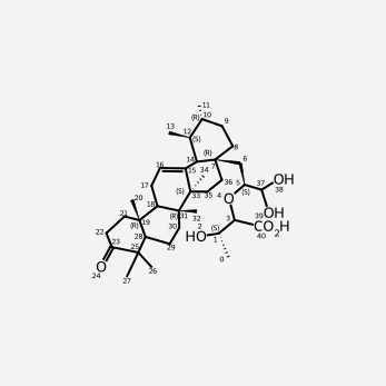 C[C@H](O)C(O[C@@H](C[C@]12CC[C@@H](C)[C@H](C)C1C1=CCC3[C@@]4(C)CCC(=O)C(C)(C)C4CC[C@@]3(C)[C@]1(C)CC2)C(O)O)C(=O)O